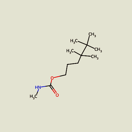 CNC(=O)OCCCC(C)(C)C(C)(C)C